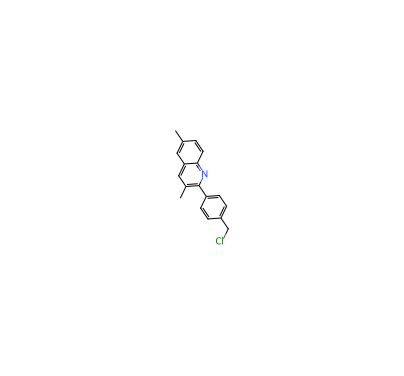 Cc1ccc2nc(-c3ccc(CCl)cc3)c(C)cc2c1